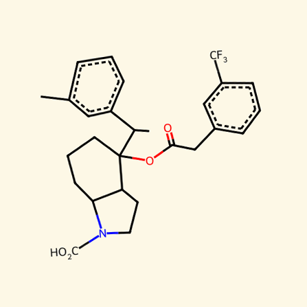 Cc1cccc(C(C)C2(OC(=O)Cc3cccc(C(F)(F)F)c3)CCCC3C2CCN3C(=O)O)c1